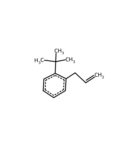 C=CCc1ccccc1C(C)(C)C